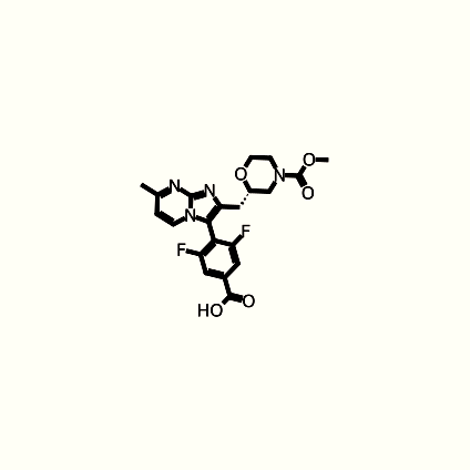 COC(=O)N1CCO[C@@H](Cc2nc3nc(C)ccn3c2-c2c(F)cc(C(=O)O)cc2F)C1